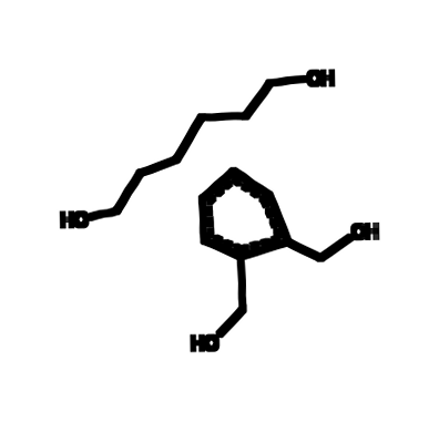 OCCCCCCO.OCc1ccccc1CO